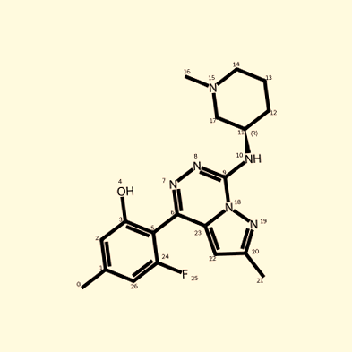 Cc1cc(O)c(-c2nnc(N[C@@H]3CCCN(C)C3)n3nc(C)cc23)c(F)c1